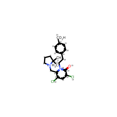 CC1(C)CCCN1Cc1c(Cl)cc(Cl)c(=O)n1CCc1ccc(C(=O)O)cc1